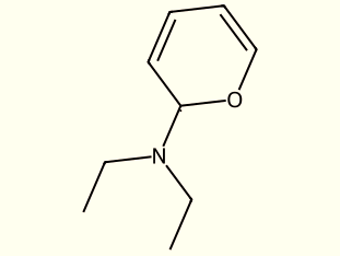 CCN(CC)[C]1C=CC=CO1